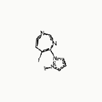 IC1=C(n2ccc[n+]2I)N=CN=C=C1